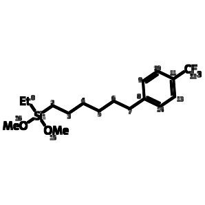 CC[Si](CCCCCCc1ccc(C(F)(F)F)cc1)(OC)OC